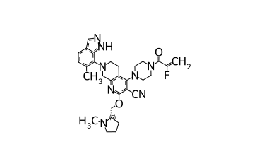 C=C(F)C(=O)N1CCN(c2c(C#N)c(OC[C@@H]3CCCN3C)nc3c2CCN(c2c(C)ccc4cn[nH]c24)C3)CC1